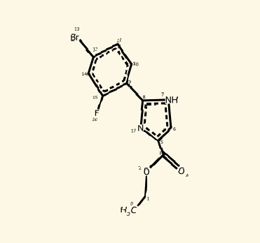 CCOC(=O)c1c[nH]c(-c2ccc(Br)cc2F)n1